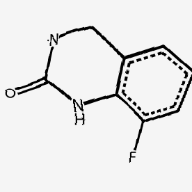 O=C1[N]Cc2cccc(F)c2N1